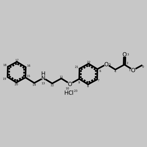 COC(=O)COc1ccc(OCCNCc2ccccc2)cc1.Cl